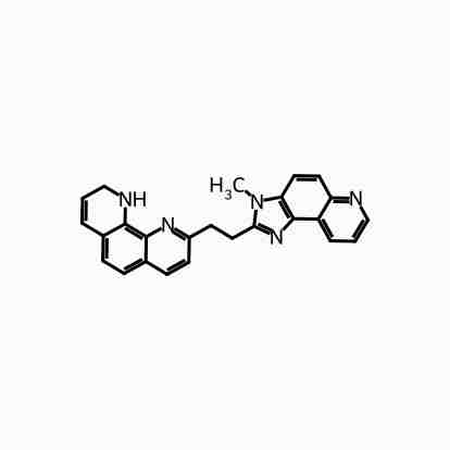 Cn1c(CCc2ccc3ccc4c(c3n2)NCC=C4)nc2c3cccnc3ccc21